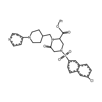 CC(C)OC(=O)C1CN(S(=O)(=O)c2ccc3cc(Cl)ccc3c2)CC(=O)N1CC1CCN(c2ccncc2)CC1